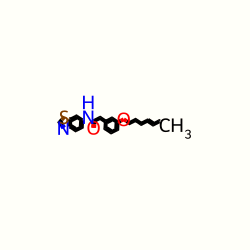 CCC=CCCCOc1cccc(CC(=O)Nc2ccc3ncsc3c2)c1